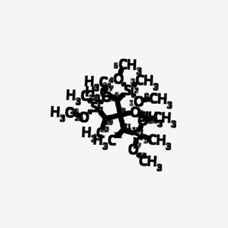 CO[Si](C)(OC)C(C)C(O[SiH3])(C(C)[Si](C)(OC)OC)C(C)[Si](C)(OC)OC